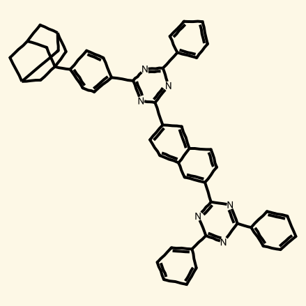 c1ccc(-c2nc(-c3ccccc3)nc(-c3ccc4cc(-c5nc(-c6ccccc6)nc(-c6ccc(C78CC9CC(CC(C9)C7)C8)cc6)n5)ccc4c3)n2)cc1